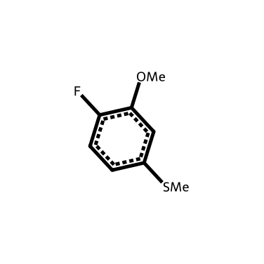 COc1cc(SC)ccc1F